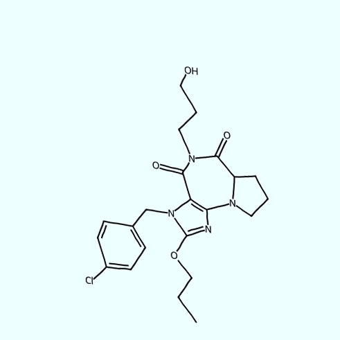 CCCOc1nc2c(n1Cc1ccc(Cl)cc1)C(=O)N(CCCO)C(=O)C1CCCN21